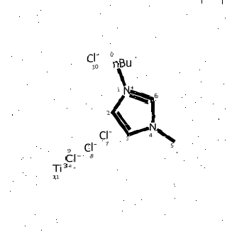 CCCC[n+]1ccn(C)c1.[Cl-].[Cl-].[Cl-].[Cl-].[Ti+3]